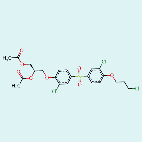 CC(=O)OC[C@@H](COc1ccc(S(=O)(=O)c2ccc(OCCCCl)c(Cl)c2)cc1Cl)OC(C)=O